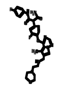 Cc1c(CNCCN2CCOCC2)cn2ncnc(Oc3ccc(C(C(N)=O)C(=O)Nc4ccc(F)cc4)cc3F)c12